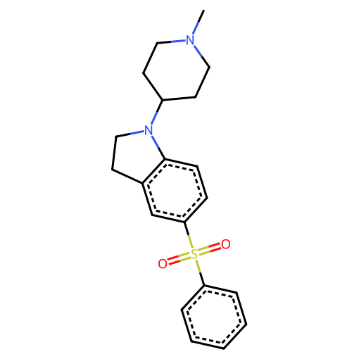 CN1CCC(N2CCc3cc(S(=O)(=O)c4ccccc4)ccc32)CC1